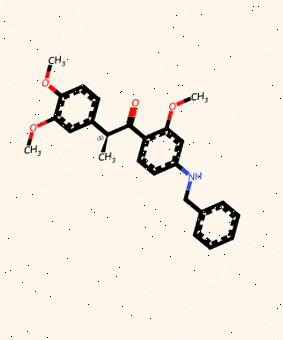 COc1ccc([C@H](C)C(=O)c2ccc(NCc3ccccc3)cc2OC)cc1OC